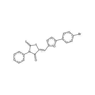 O=C1/C(=C/c2ccc(-c3ccc(Br)cc3)o2)SC(=S)N1c1ccccc1